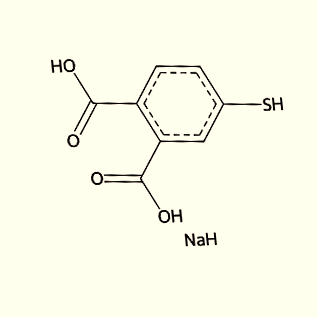 O=C(O)c1ccc(S)cc1C(=O)O.[NaH]